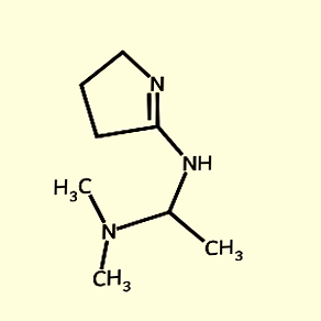 CC(NC1=NCCC1)N(C)C